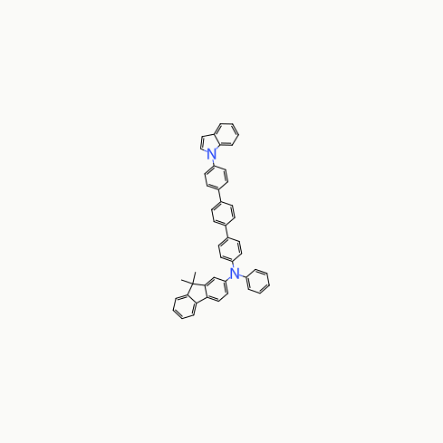 CC1(C)c2ccccc2-c2ccc(N(c3ccccc3)c3ccc(-c4ccc(-c5ccc(-n6ccc7ccccc76)cc5)cc4)cc3)cc21